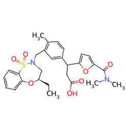 CC[C@@H]1CN(Cc2cc(C(CC(=O)O)c3ccc(C(=O)N(C)C)o3)ccc2C)S(=O)(=O)c2ccccc2O1